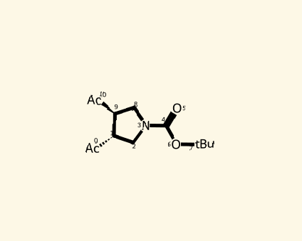 CC(=O)[C@H]1CN(C(=O)OC(C)(C)C)C[C@@H]1C(C)=O